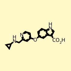 O=C(O)c1c[nH]c2ccc(Oc3ccnc(CNC4CC4)c3)cc12